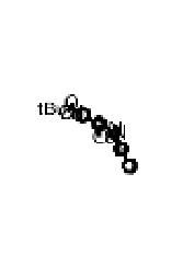 Cc1cc(C2CCN(C(=O)OC(C)(C)C)CC2)ccc1-c1nnc(-c2ccc(C3CCCCC3)cc2)o1